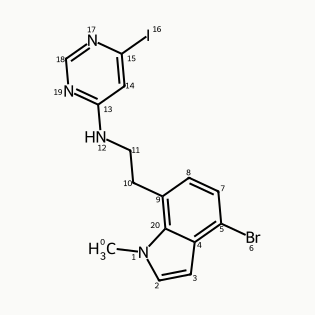 Cn1ccc2c(Br)ccc(CCNc3cc(I)ncn3)c21